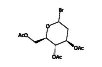 CC(=O)OC[C@H]1OC(Br)C[C@@H](OC(C)=O)[C@@H]1OC(C)=O